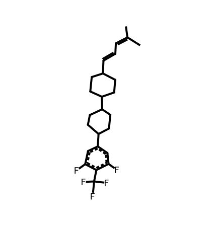 CC(C)=C/C=C/C1CCC(C2CCC(c3cc(F)c(C(F)(F)F)c(F)c3)CC2)CC1